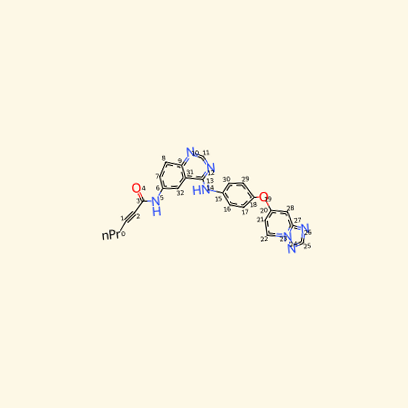 CCCC#CC(=O)Nc1ccc2ncnc(Nc3ccc(Oc4ccn5ncnc5c4)cc3)c2c1